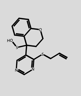 C=CCSc1ncncc1C1(SO)CCOc2ccccc21